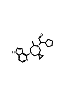 CC1CN(c2ncnc3[nH]ccc23)CC2(CC2)CN1C(C=O)C1CCCC1